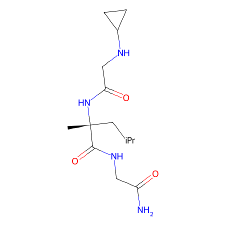 CC(C)C[C@@](C)(NC(=O)CNC1CC1)C(=O)NCC(N)=O